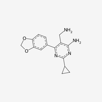 NCc1c(N)nc(C2CC2)nc1-c1ccc2c(c1)OCO2